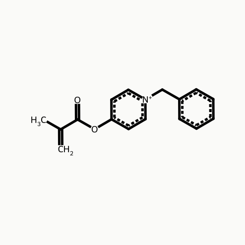 C=C(C)C(=O)Oc1cc[n+](Cc2ccccc2)cc1